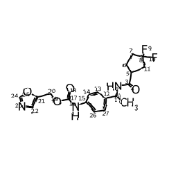 C[C@H](NC(=O)C1CCC(F)(F)C1)c1ccc(NC(=O)OCc2cnco2)cc1